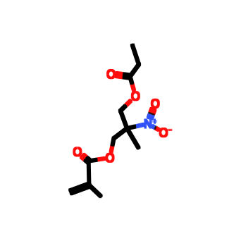 C=C(C)C(=O)OCC(C)(COC(=O)CC)[N+](=O)[O-]